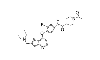 CCN(CC)Cc1cc2nccc(Oc3ccc(NC(=O)C4CCN(C(C)=O)CC4)cc3F)c2s1